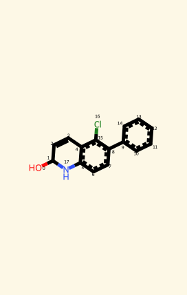 OC1C=Cc2c(ccc(-c3ccccc3)c2Cl)N1